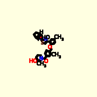 Cc1ccc(OCc2ccc(C(=O)N3CCCC(C)(O)C3)cc2C)c(-c2csc(N3CC4CC[C@@H](C3)[C@H]4C=O)n2)c1